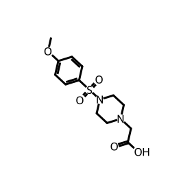 COc1ccc(S(=O)(=O)N2CCN(CC(=O)O)CC2)cc1